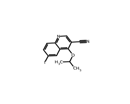 CC(C)Oc1c(C#N)cnc2ccc(I)cc12